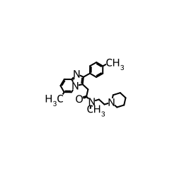 Cc1ccc(-c2nc3ccc(C)cn3c2CC(=O)N(C)CCN2CCCCC2)cc1